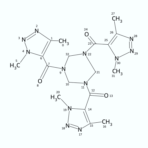 Cc1nnn(C)c1C(=O)N1CN(C(=O)c2c(C)nnn2C)CN(C(=O)c2c(C)nnn2C)C1